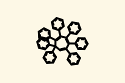 [C]1=C(c2ccccc2)C(c2ccccc2)=C(c2ccccc2)C(c2ccccc2)=C(c2ccccc2)C1(c1ccccc1)c1ccccc1